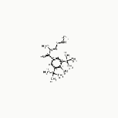 CNCCN(C)C(=O)c1cc(C(C)(C)C)c(O)c(C(C)(C)C)c1